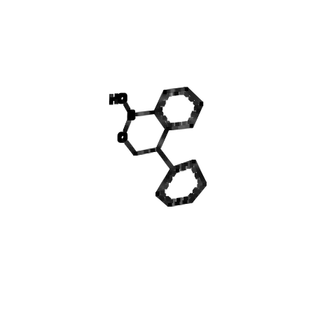 OB1OCC(c2ccccc2)c2ccccc21